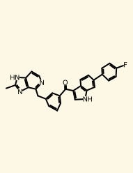 Cc1nc2c(Cc3cccc(C(=O)c4c[nH]c5cc(-c6ccc(F)cc6)ccc45)c3)nccc2[nH]1